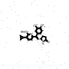 COc1nc(C(=C[C@H]2CCC(=O)N2)c2ccc(C(F)(F)F)c(Cl)c2)ccc1C1CC1